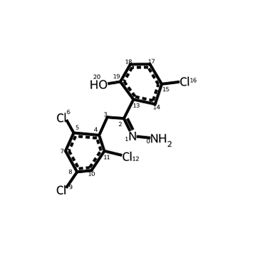 NN=C(Cc1c(Cl)cc(Cl)cc1Cl)c1cc(Cl)ccc1O